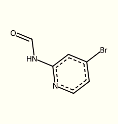 O=CNc1cc(Br)ccn1